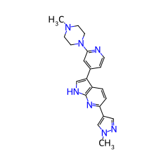 CN1CCN(c2cc(-c3c[nH]c4nc(-c5cnn(C)c5)ccc34)ccn2)CC1